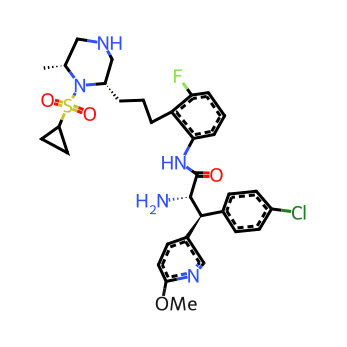 COc1ccc([C@H](c2ccc(Cl)cc2)[C@H](N)C(=O)Nc2cccc(F)c2CCC[C@H]2CNC[C@@H](C)N2S(=O)(=O)C2CC2)cn1